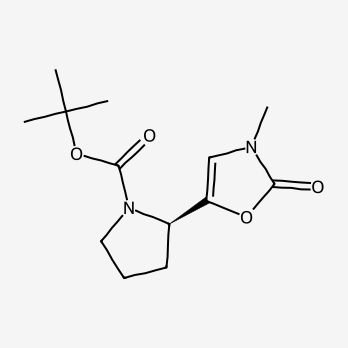 Cn1cc([C@H]2CCCN2C(=O)OC(C)(C)C)oc1=O